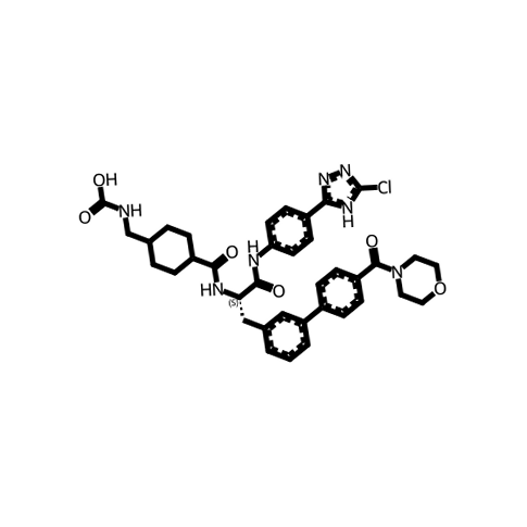 O=C(O)NCC1CCC(C(=O)N[C@@H](Cc2cccc(-c3ccc(C(=O)N4CCOCC4)cc3)c2)C(=O)Nc2ccc(-c3nnc(Cl)[nH]3)cc2)CC1